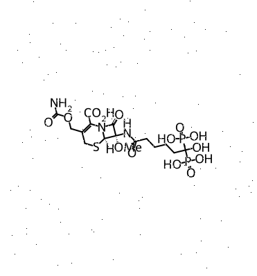 CO[C@@]1(NC(=O)CCCCC(O)(P(=O)(O)O)P(=O)(O)O)C(=O)N2C(C(=O)O)=C(COC(N)=O)CS[C@@H]21